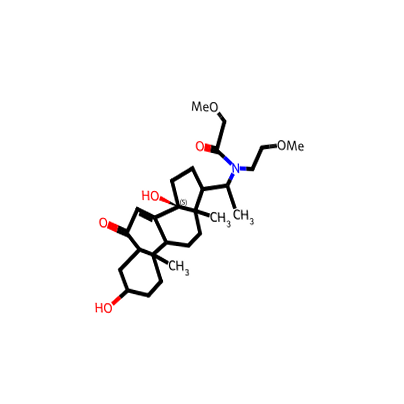 COCCN(C(=O)COC)C(C)C1CC[C@@]2(O)C3=CC(=O)C4CC(O)CCC4(C)C3CCC12C